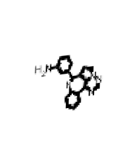 Nc1cccc(C2=Nc3ccccc3-c3ncnn4ccc2c34)c1